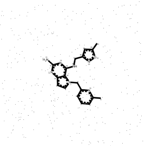 Cc1cccc(Cn2ccc3nc(N)nc(NCc4cc(C)on4)c32)n1